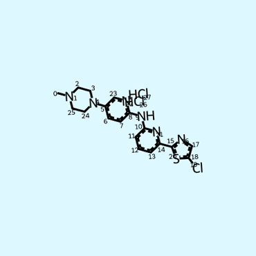 CN1CCN(c2ccc(Nc3cccc(-c4ncc(Cl)s4)n3)nc2)CC1.Cl.Cl